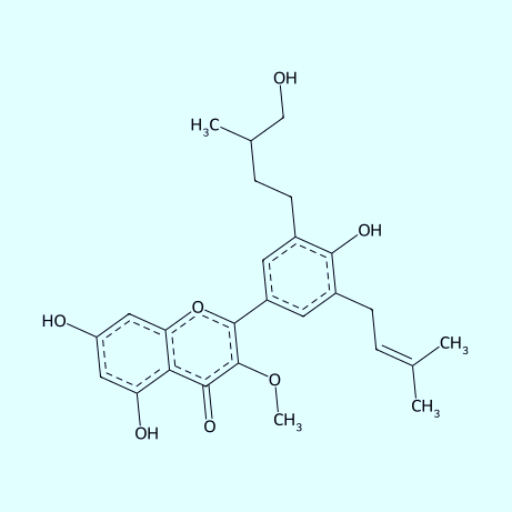 COc1c(-c2cc(CC=C(C)C)c(O)c(CCC(C)CO)c2)oc2cc(O)cc(O)c2c1=O